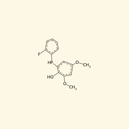 COc1cc(OC)c(O)c(Pc2ccccc2F)c1